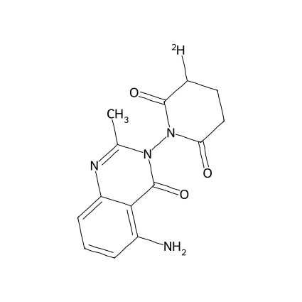 [2H]C1CCC(=O)N(n2c(C)nc3cccc(N)c3c2=O)C1=O